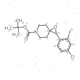 CC(C)(C)OC(=O)N1CCC2(CC1)OC2c1ccc(Cl)cc1F